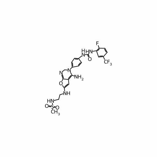 CS(=O)(=O)NCCNc1cc2c(o1)=NCN(c1ccc(NC(=O)Nc3cc(C(F)(F)F)ccc3F)cc1)C=2N